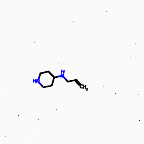 C=CCNC1CCNCC1